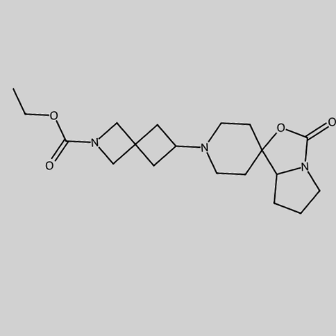 CCOC(=O)N1CC2(CC(N3CCC4(CC3)OC(=O)N3CCCC34)C2)C1